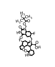 CC(C)(C)C(=O)OCn1c(=O)[nH]c(=O)c2cc(Cn3c(C(=O)O)c(-c4ccc[nH]c4=O)c4c5occc5c(F)cc43)c(F)cc21